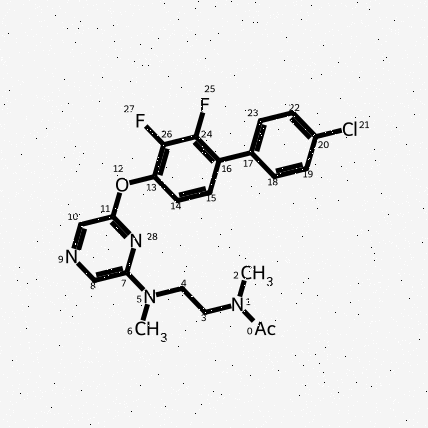 CC(=O)N(C)CCN(C)c1cncc(Oc2ccc(-c3ccc(Cl)cc3)c(F)c2F)n1